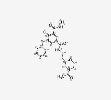 CNC(=O)c1cc(C(=O)NCCC2CN(C(C)=O)CCO2)cn(Cc2ccccc2)c1=O